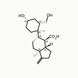 C=C1CC[C@H]2[C@H](C(=O)O)[C@@H]([C@@]3(C)CC[C@H](O)C[C@@H]3CO)CC[C@]12C